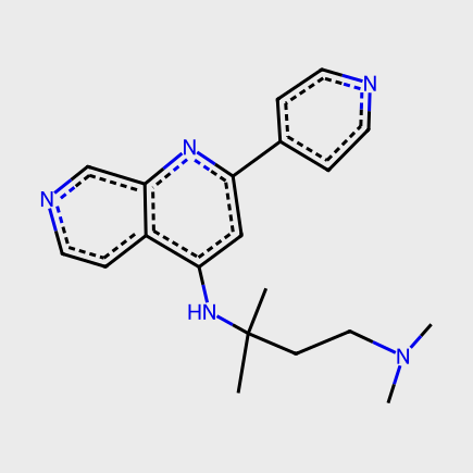 CN(C)CCC(C)(C)Nc1cc(-c2ccncc2)nc2cnccc12